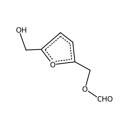 O=COCc1ccc(CO)o1